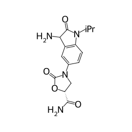 CC(C)N1C(=O)C(N)c2cc(N3C[C@H](C(N)=O)OC3=O)ccc21